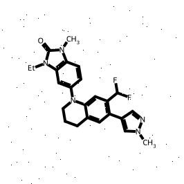 CCn1c(=O)n(C)c2ccc(N3CCCc4cc(-c5cnn(C)c5)c(C(F)F)cc43)cc21